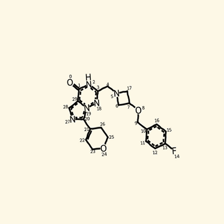 O=c1[nH]c(CN2CC(OCc3ccc(F)cc3)C2)nn2c(C3=CCOCC3)ncc12